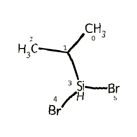 CC(C)[SiH](Br)Br